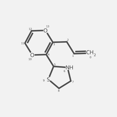 C=CCC1=C(C2NCCS2)OC=CO1